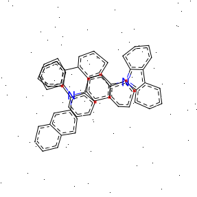 c1ccc(-c2ccccc2-c2c(-c3ccccc3)cccc2-c2ccccc2N(c2ccc(-n3c4ccccc4c4ccccc43)cc2)c2ccc3ccccc3c2)cc1